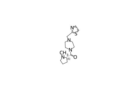 CN1CCC[C@H]1C(=O)N1CCN(Cc2nccs2)CC1